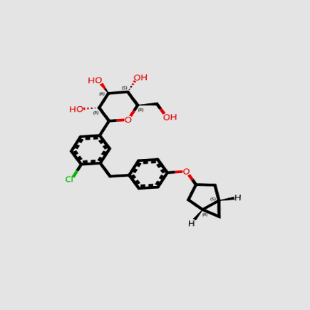 OC[C@H]1OC(c2ccc(Cl)c(Cc3ccc(OC4C[C@@H]5C[C@@H]5C4)cc3)c2)[C@H](O)[C@@H](O)[C@@H]1O